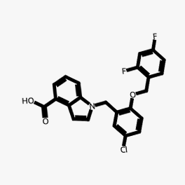 O=C(O)c1cccc2c1ccn2Cc1cc(Cl)ccc1OCc1ccc(F)cc1F